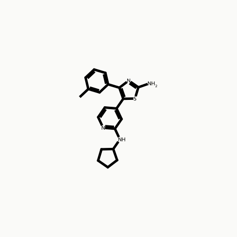 Cc1cccc(-c2nc(N)sc2-c2ccnc(NC3CCCC3)c2)c1